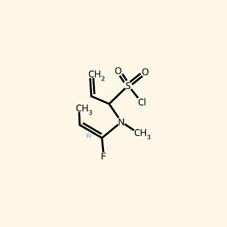 C=CC(N(C)/C(F)=C\C)S(=O)(=O)Cl